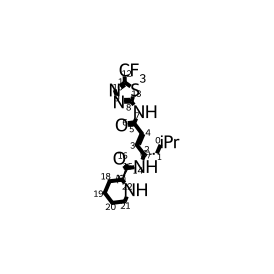 CC(C)C[C@@H](C=CC(=O)Nc1nnc(C(F)(F)F)s1)NC(=O)[C@@H]1CCCCN1